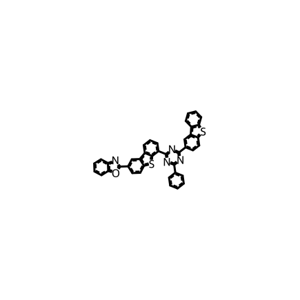 c1ccc(-c2nc(-c3ccc4sc5ccccc5c4c3)nc(-c3cccc4c3sc3ccc(-c5nc6ccccc6o5)cc34)n2)cc1